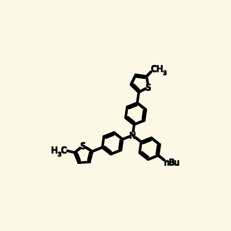 CCCCc1ccc(N(c2ccc(-c3ccc(C)s3)cc2)c2ccc(-c3ccc(C)s3)cc2)cc1